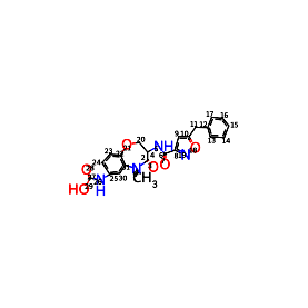 CN1C(=O)C(NC(=O)c2cc(Cc3ccccc3)on2)COc2ccc(NC(=O)O)cc21